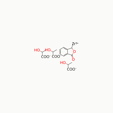 CC(O)C(=O)[O-].CC(O)C(=O)[O-].CC(O)C(=O)[O-].O=C1O[CH]([Zr+3])c2ccccc21